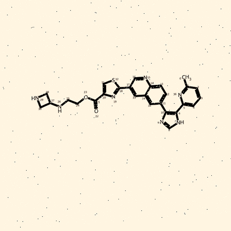 Cc1cccc(-c2[nH]cnc2-c2ccc3ncc(-c4nc(C(=O)OCCNC5CNC5)cs4)cc3c2)n1